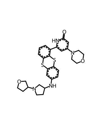 O=c1cc(N2CCOCC2)cc(-c2cccc3c2Sc2ccc(NC4CCN(C5CCOC5)C4)cc2S3)[nH]1